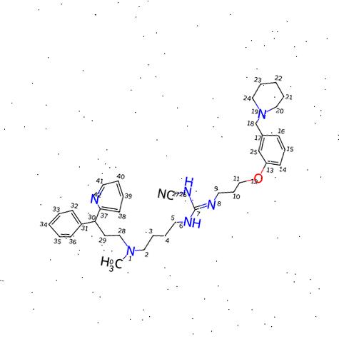 CN(CCCCN/C(=N/CCCOc1cccc(CN2CCCCC2)c1)NC#N)CCC(c1ccccc1)c1ccccn1